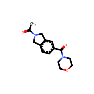 CC(=O)N1Cc2ccc(C(=O)N3CCOCC3)cc2C1